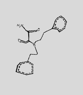 NC(=O)C(=O)N(CCc1ccccc1)CCc1ccccc1